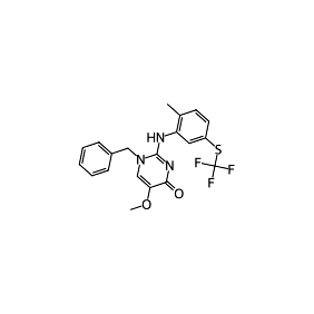 COc1cn(Cc2ccccc2)c(Nc2cc(SC(F)(F)F)ccc2C)nc1=O